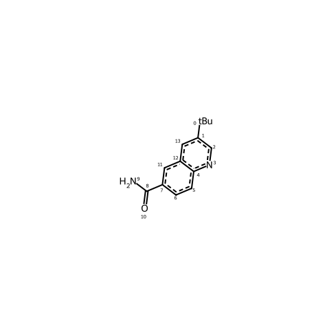 CC(C)(C)c1cnc2ccc(C(N)=O)cc2c1